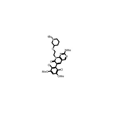 CNc1ncc2cc(-c3c(Cl)c(OC)cc(OC)c3Cl)c(=O)n(CCOC3CCCN(C(C)(C)C)C3)c2n1